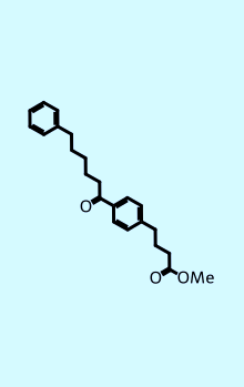 COC(=O)CCCc1ccc(C(=O)CCCCCc2ccccc2)cc1